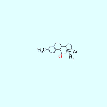 CC(=O)C1CCC2C3CCc4cc(C)ccc4C3C(=O)C[C@]12C